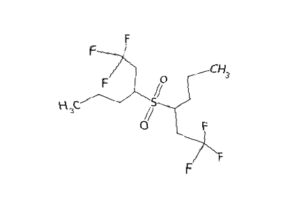 CCCC(CC(F)(F)F)S(=O)(=O)C(CCC)CC(F)(F)F